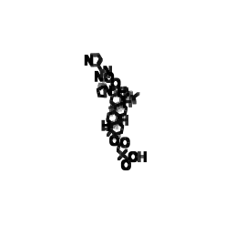 C=C(C)[C@@H]1CC[C@]2(C(=O)N3CCC[C@@H]3c3nc(-c4cccnc4)no3)CC[C@]3(C)[C@H](CC[C@@H]4[C@@]5(C)CC[C@H](OC(=O)CC(C)(C)C(=O)O)C(C)(C)[C@@H]5CC[C@]43C)[C@@H]12